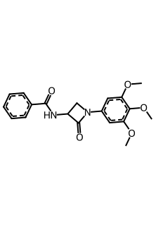 COc1cc(N2CC(NC(=O)c3ccccc3)C2=O)cc(OC)c1OC